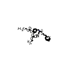 CCOC(=O)Oc1ccc(/C=C(\C#N)C(=O)OCCCc2ccccn2)cc1OC(=O)OCC